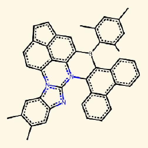 Cc1cc(C)c(B2c3c(c4ccccc4c4ccccc34)-n3c4c2cc2ccc5ccc(c4c52)n2c4cc(C)c(C)cc4nc32)c(C)c1